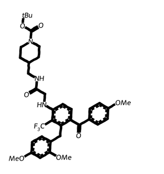 COc1ccc(C(=O)c2ccc(NCC(=O)NCC3CCN(C(=O)OC(C)(C)C)CC3)c(C(F)(F)F)c2Cc2ccc(OC)cc2OC)cc1